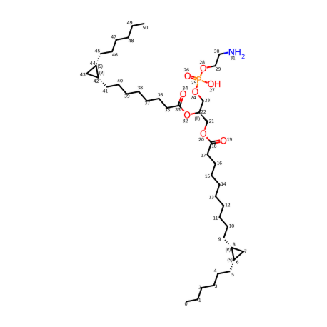 CCCCCC[C@H]1C[C@H]1CCCCCCCCCC(=O)OC[C@H](COP(=O)(O)OCCN)OC(=O)CCCCCCC[C@@H]1C[C@@H]1CCCCCC